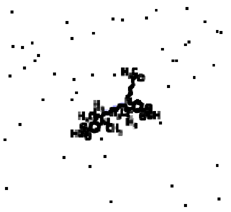 CC[N+]1=C(/C=C/C=C/C=C2/N(CCCCCC(C)=O)c3ccc(S(=O)(=O)O)cc3C2(C)C)C(C)(C)c2cc(S(=O)(=O)O)ccc21